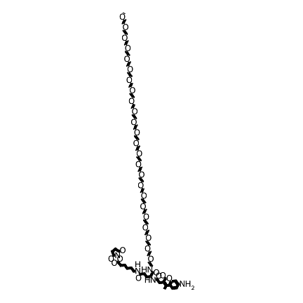 COCCOCCOCCOCCOCCOCCOCCOCCOCCOCCOCCOCCOCCOCCOCCOCCOCCOCCOCCOCCOCCOCCOCCOCCNC(=O)C(CCC(=O)NCCCCCC(=O)ON1C(=O)CCC1=O)NC(=O)Cc1c(C)c2ccc(N)cc2oc1=O